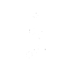 Cc1nc(COc2ccc(C[C@H](NC(=O)O[C@H]3CO[C@H]4OCC[C@H]43)[C@@H](CN(CC(C)C)S(=O)(=O)c3ccc4c(c3)OCO4)C(OCCCl)C(=O)O)cc2)cs1